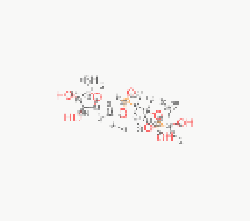 B[C@@H]1O[C@H](CC(C)(CC)OP(C)(=O)C(C)(CC)C(C)(CC)OP(=O)(O)C(O)(CC)CC)[C@@H](O)[C@H]1O